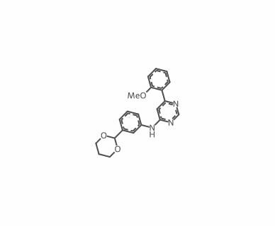 COc1ccccc1-c1cc(Nc2cccc(C3OCCCO3)c2)ncn1